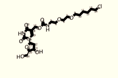 O=C(NCCOCCOCCCCCCCl)OCc1cn([C@H]2CC(O)[C@@H](CO)O2)c(=O)[nH]c1=O